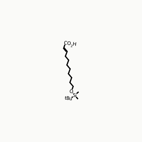 CC(C)(C)[Si](C)(C)OCCCCCCCCC=CC(=O)O